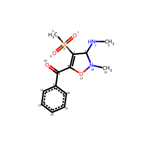 CNC1C(S(C)(=O)=O)=C(C(=O)c2ccccc2)ON1C